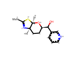 CNC1=N[C@@H]2CC[C@H](C(O)c3cccnc3)O[C@@H]2S1